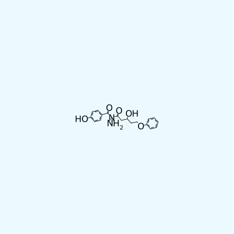 NN(C(=O)CC(O)CCOc1ccccc1)C(=O)c1ccc(O)cc1